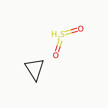 C1CC1.O=[SH2]=O